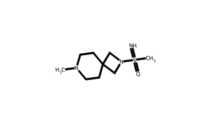 CN1CCC2(CC1)CN(S(C)(=N)=O)C2